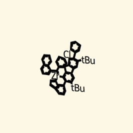 CC(C)(C)c1cc2c(cc1-c1ccccc1)Cc1c-2cc(C(C)(C)C)c(-c2ccccc2)[c]1/[Zr]([C]1=CC=CC1)=[C](\c1ccc(Cl)cc1)c1cccc2ccccc12